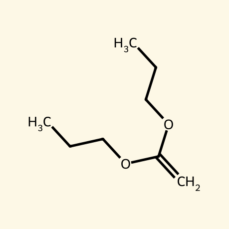 C=C(OCCC)OCCC